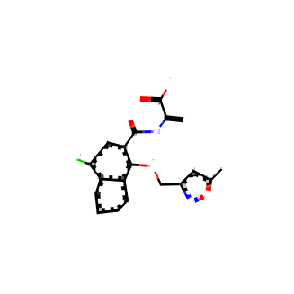 C=C(NC(=O)c1cc(Cl)c2ccccc2c1OCc1cc(C)on1)C(=O)O